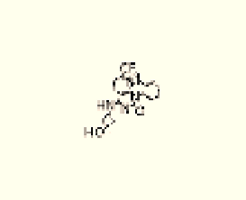 C[C@]1(O)C[C@@H](Nc2nc(=O)n(-c3ccccc3Cl)c3nc(C(F)(F)F)ccc23)C1